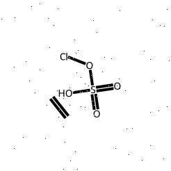 C=C.O=S(=O)(O)OCl